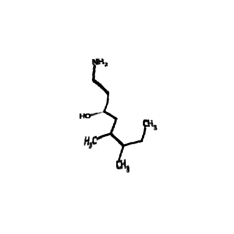 CCC(C)C(C)C[C@H](O)CCN